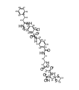 O=C(NCCCCP(=O)(O)CC(=O)N1CC2(C[C@H]1C(=O)O)SCCS2)c1ccc(CNS(=O)(=O)c2cc3c(cc2Cl)NC(CCc2ccccc2)NS3)cc1